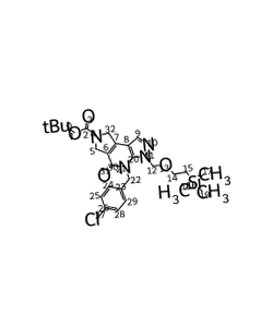 CC(C)(C)OC(=O)N1Cc2c(c3cnn(COCC[Si](C)(C)C)c3n(Cc3ccc(Cl)cc3)c2=O)C1